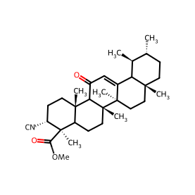 [C-]#[N+][C@@H]1CC[C@@]2(C)C(CC[C@]3(C)C2C(=O)C=C2C4[C@@H](C)[C@H](C)CC[C@]4(C)CC[C@]23C)[C@@]1(C)C(=O)OC